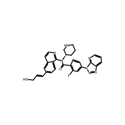 O=C(c1ccc(-n2nnc3cccnc32)cc1F)N(c1nccc2cc(C=CCO)ccc12)[C@@H]1CCCNC1